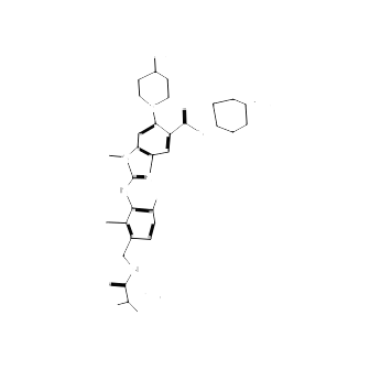 Cn1c(Nc2c(Cl)ccc(CNC(=O)[C@](C)(O)C(F)(F)F)c2Cl)nc2cc(C(=O)N[C@H]3CC[C@@H](C(F)(F)F)CC3)c(N3CCC(C(F)(F)F)CC3)cc21